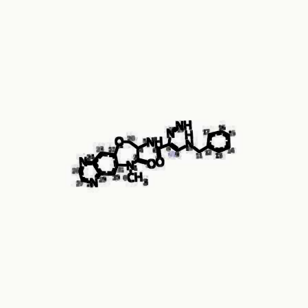 CN1C(=O)C(NC(=O)/C(=C/NCc2ccccc2)N=N)COc2cc3nccnc3cc21